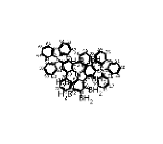 Bc1c(B)c(B)c2c(c1B)c1c(B)c(S(c3ccccc3)(c3ccccc3)c3ccccc3)c(B)c(B)c1n2-c1c(-c2ccccc2)cc(S(c2ccccc2)(c2ccccc2)c2ccccc2)cc1-c1ccccc1